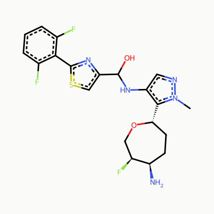 Cn1ncc(NC(O)c2csc(-c3c(F)cccc3F)n2)c1[C@@H]1CC[C@@H](N)[C@@H](F)CO1